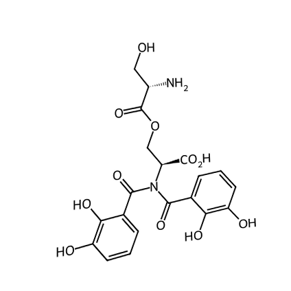 N[C@@H](CO)C(=O)OC[C@@H](C(=O)O)N(C(=O)c1cccc(O)c1O)C(=O)c1cccc(O)c1O